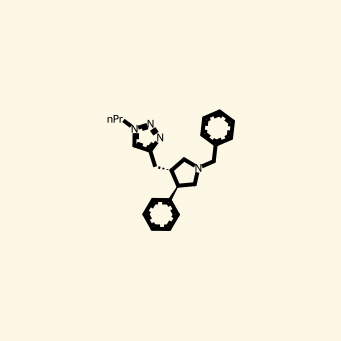 CCCn1cc(C[C@@H]2CN(Cc3ccccc3)C[C@H]2c2ccccc2)nn1